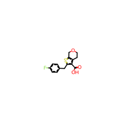 O=C(O)c1c(Cc2ccc(F)cc2)sc2c1CCOC2